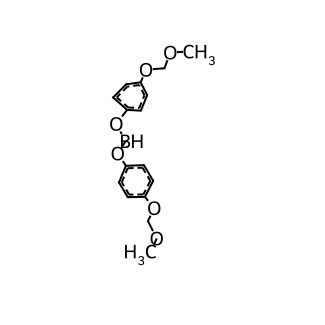 COCOc1ccc(OBOc2ccc(OCOC)cc2)cc1